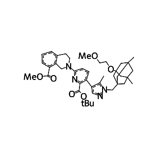 COCCOC12CC3(C)CC(C)(CC(Cn4ncc(-c5ccc(N6CCc7cccc(C(=O)OC)c7C6)nc5C(=O)OC(C)(C)C)c4C)(C3)C1)C2